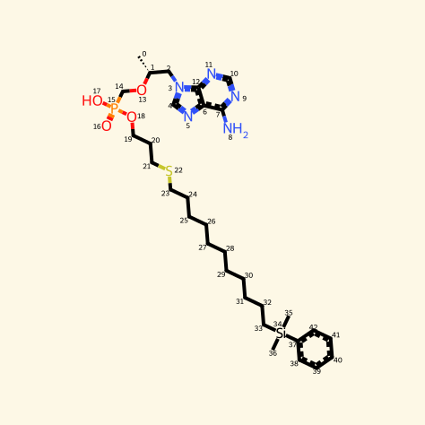 C[C@H](Cn1cnc2c(N)ncnc21)OCP(=O)(O)OCCCSCCCCCCCCCCC[Si](C)(C)c1ccccc1